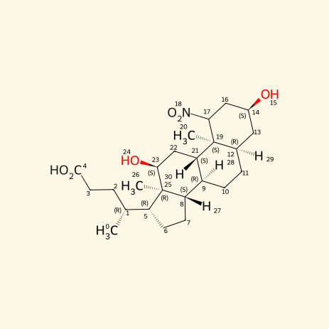 C[C@H](CCC(=O)O)[C@H]1CC[C@H]2[C@@H]3CC[C@@H]4C[C@H](O)CC([N+](=O)[O-])[C@]4(C)[C@H]3C[C@H](O)[C@]12C